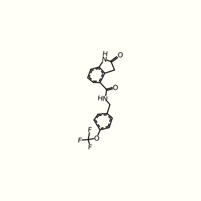 O=C1Cc2c(cccc2C(=O)NCc2ccc(OC(F)(F)F)cc2)N1